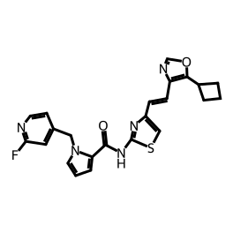 O=C(Nc1nc(C=Cc2ncoc2C2CCC2)cs1)c1cccn1Cc1ccnc(F)c1